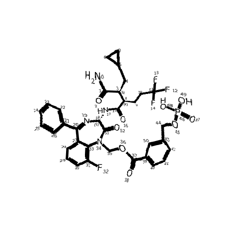 NC(=O)[C@@H](CC1CC1)[C@@H](CCC(F)(F)F)C(=O)N[C@H]1N=C(c2ccccc2)c2cccc(F)c2N(COC(=O)c2cccc(COP(=O)(O)O)c2)C1=O